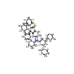 c1ccc(-c2cc(-c3ccccc3)cc(N(c3ccccc3)c3ccc4c(c3)C3(c5ccccc5-c5ccccc53)c3c-4sc4ccccc34)c2)cc1